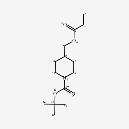 CCC(=O)OCC1CCN(C(=O)OC(C)(C)C)CC1